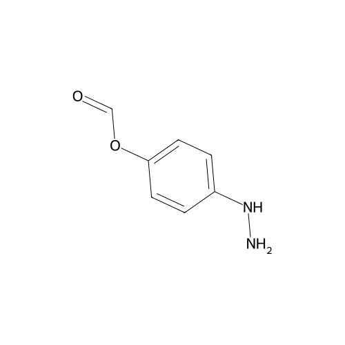 NNc1ccc(OC=O)cc1